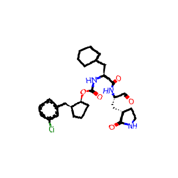 O=C[C@H](C[C@@H]1CCNC1=O)NC(=O)[C@H](CC1CCCCC1)NC(=O)O[C@H]1CCC[C@H]1Cc1cccc(Cl)c1